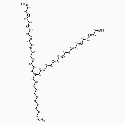 CCCCCCCCCCCCN(CCCOCCOCCOCCOCCOCCO)CCOCCOCCOCCOCCOCCOCCO